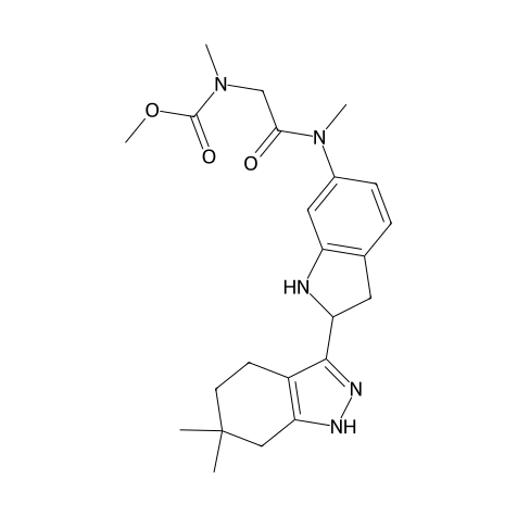 COC(=O)N(C)CC(=O)N(C)c1ccc2c(c1)NC(c1n[nH]c3c1CCC(C)(C)C3)C2